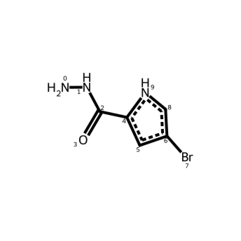 NNC(=O)c1cc(Br)c[nH]1